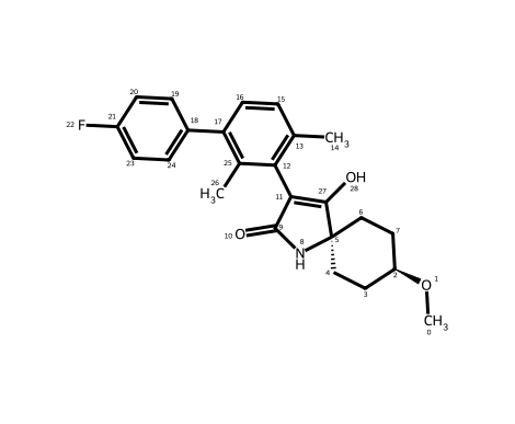 CO[C@H]1CC[C@]2(CC1)NC(=O)C(c1c(C)ccc(-c3ccc(F)cc3)c1C)=C2O